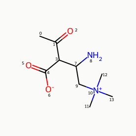 CC(=O)C(C(=O)[O-])C(N)C[N+](C)(C)C